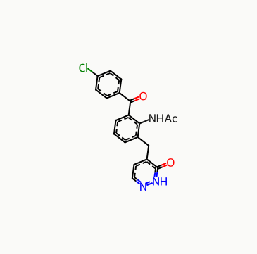 CC(=O)Nc1c(Cc2ccn[nH]c2=O)cccc1C(=O)c1ccc(Cl)cc1